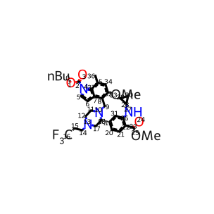 CCCCOC(=O)n1ccc2c(CN3CCN(CCC(F)(F)F)C[C@H]3c3ccc(C(=O)OC)c(NC4CC4)c3)c(OC)cc(C)c21